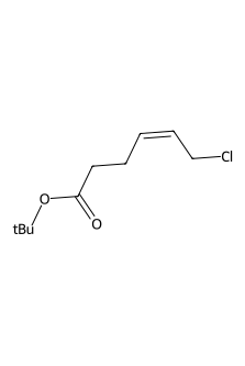 CC(C)(C)OC(=O)CC/C=C\CCl